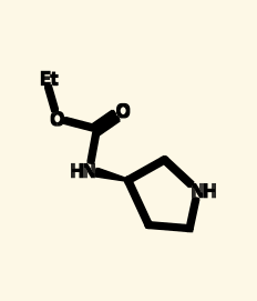 CCOC(=O)N[C@@H]1CCNC1